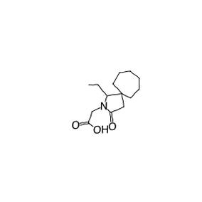 CCC1N(CC(=O)O)C(=O)CC12CCCCCC2